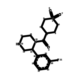 O=C(C1CCS(=O)(=O)CC1)N1CCNCC1c1cccc(F)c1